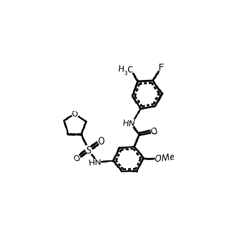 COc1ccc(NS(=O)(=O)C2CCOC2)cc1C(=O)Nc1ccc(F)c(C)c1